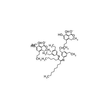 CCCCCCCCC(=Nc1cc(CC)cc(CC)c1)C(CCCCC)=Nc1cc(CC)cc(CC)c1.CCCc1cc(O)c(O)c(C(=O)[O-])c1CC.CCCc1cc(O)c(O)c(C(=O)[O-])c1CC.[Pd+2]